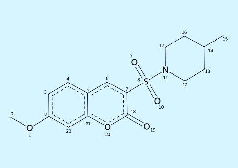 COc1ccc2cc(S(=O)(=O)N3CCC(C)CC3)c(=O)oc2c1